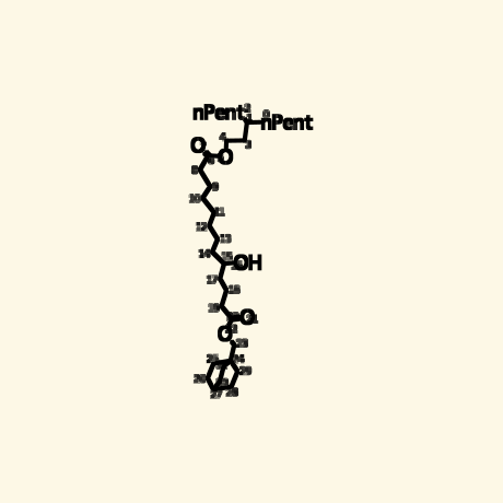 CCCCCC(CCCCC)CCOC(=O)CCCCCCCC(O)CCCC(=O)OCC12CCC(CC1)CC2